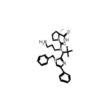 CC(C)(C)[C@H](c1nc(-c2ccccc2)cn1Cc1ccccc1)N(CCCN)C(=O)N1CCC[C@@]1(C)C(=O)O